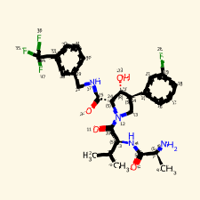 CC(C)[C@H](NC(=O)[C@H](C)N)C(=O)N1C[C@H](c2cccc(F)c2)[C@@H](O)[C@H]1C(=O)NCc1cccc(C(F)(F)F)c1